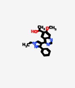 CCn1cc(-c2ncnc3cc(OC)c(C(C)O)cc23)c(-c2ccccc2)n1